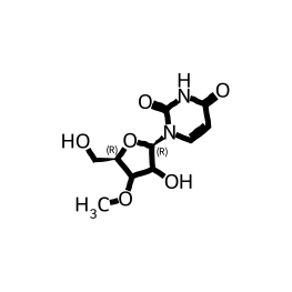 COC1C(O)[C@H](n2ccc(=O)[nH]c2=O)O[C@@H]1CO